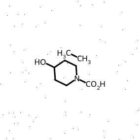 CC.O=C(O)N1CCC(O)CC1